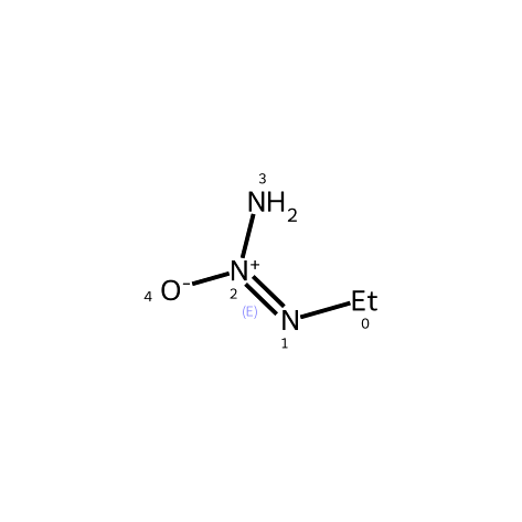 CC/N=[N+](\N)[O-]